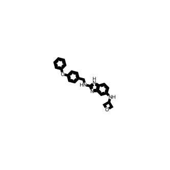 c1ccc(Oc2ccc(CNc3nc4cc(NC5COC5)ccc4[nH]3)cc2)cc1